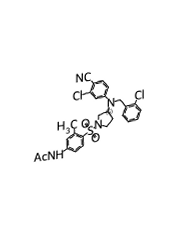 CC(=O)Nc1ccc(S(=O)(=O)N2CC[C@H](N(Cc3ccccc3Cl)c3ccc(C#N)c(Cl)c3)C2)c(C)c1